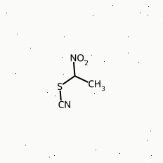 CC(SC#N)[N+](=O)[O-]